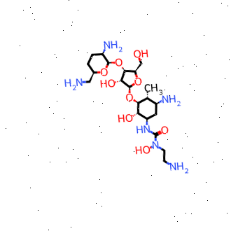 C[C@H]1[C@H](O[C@@H]2O[C@H](CO)[C@@H](O[C@H]3O[C@@H](CN)CC[C@H]3N)[C@H]2O)[C@@H](O)[C@H](NC(=O)N(O)CCN)C[C@@H]1N